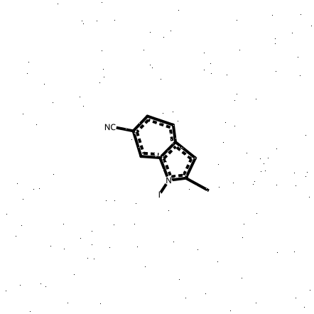 Cc1cc2ccc(C#N)cc2n1I